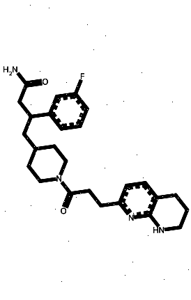 NC(=O)CC(CC1CCN(C(=O)CCc2ccc3c(n2)NCCC3)CC1)c1cccc(F)c1